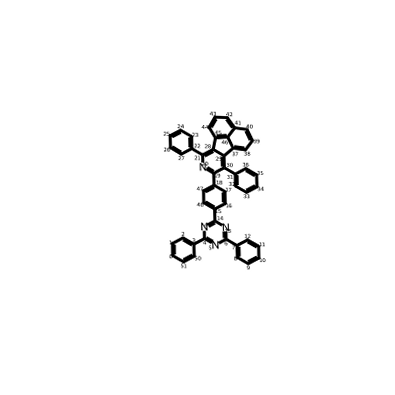 c1ccc(-c2nc(-c3ccccc3)nc(-c3ccc(-c4nc(-c5ccccc5)c5c(c4-c4ccccc4)-c4cccc6cccc-5c46)cc3)n2)cc1